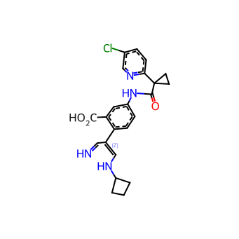 N=C/C(=C\NC1CCC1)c1ccc(NC(=O)C2(c3ccc(Cl)cn3)CC2)cc1C(=O)O